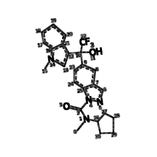 CN(C(=O)n1ncc2cc(C(O)(c3cn(C)c4ccccc34)C(F)(F)F)ccc21)C1CCCC1